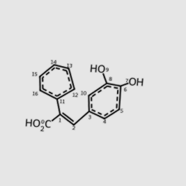 O=C(O)/C(=C/c1ccc(O)c(O)c1)c1ccccc1